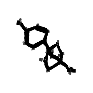 CCCCC12COC(c3ccc(Br)cc3)(OC1)SC2